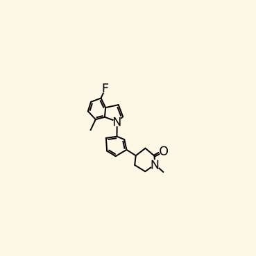 Cc1ccc(F)c2ccn(-c3cccc(C4CCN(C)C(=O)C4)c3)c12